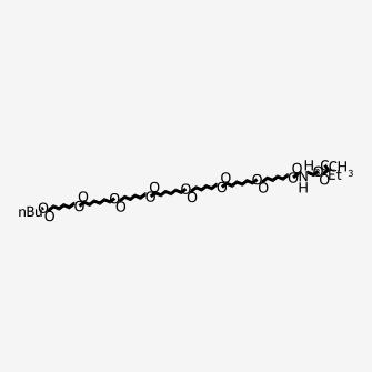 CCCCOC(=O)CCCCCOC(=O)CCCCCOC(=O)CCCCCOC(=O)CCCCCOC(=O)CCCCCOC(=O)CCCCCOC(=O)CCCCCOC(=O)NCCOC(=O)C(C)(C)CC